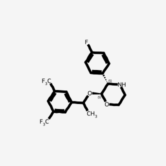 CC(O[C@@H]1OCCN[C@H]1c1ccc(F)cc1)c1cc(C(F)(F)F)cc(C(F)(F)F)c1